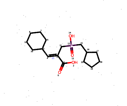 O=C(O)/C(=C/C1CCCCC1)CP(=O)(O)CC1CCCC1